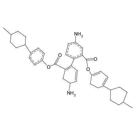 CC1CCC(C2=CC=C(OC(=O)c3cc(N)ccc3C3=C(C(=O)Oc4ccc(C5CCC(C)CC5)cc4)CC(N)C=C3)CC2)CC1